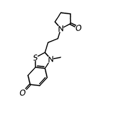 CN1C2=C(CC(=O)C=C2)SC1CCN1CCCC1=O